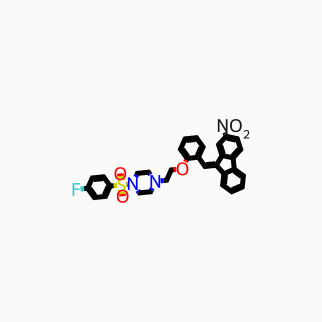 O=[N+]([O-])c1ccc2c(c1)C(=Cc1ccccc1OCCN1CCN(S(=O)(=O)c3ccc(F)cc3)CC1)c1ccccc1-2